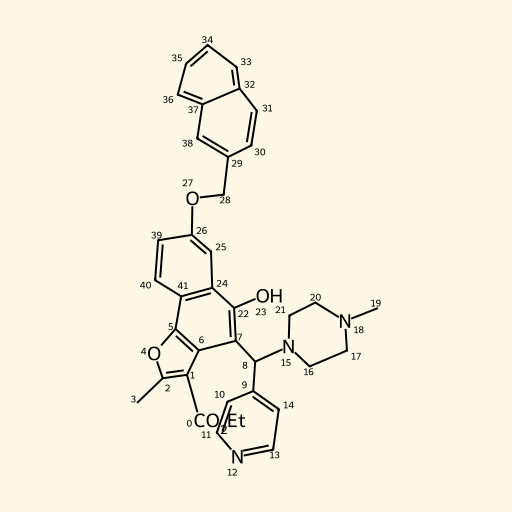 CCOC(=O)c1c(C)oc2c1c(C(c1ccncc1)N1CCN(C)CC1)c(O)c1cc(OCc3ccc4ccccc4c3)ccc12